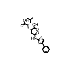 CC(C)C[C@H](C[C@@H](CC(=O)Nc1nc(-c2ccccc2)cs1)C(=O)O)C(=O)O